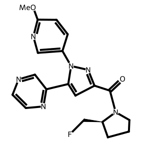 COc1ccc(-n2nc(C(=O)N3CCC[C@H]3CF)cc2-c2cnccn2)cn1